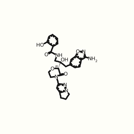 Nc1noc2cc(CC(O)(CNC(=O)c3ccccc3O)[C@H]3OCCN(c4cc5n(n4)CCC5)C3=O)ccc12